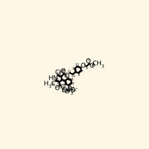 COC(=O)COc1ccc(CCOC(=O)C2=C(C)NC(C)=C(C(=O)OC)C2c2cccc([N+](=O)[O-])c2)cc1